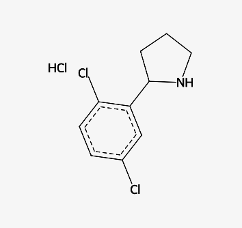 Cl.Clc1ccc(Cl)c(C2CCCN2)c1